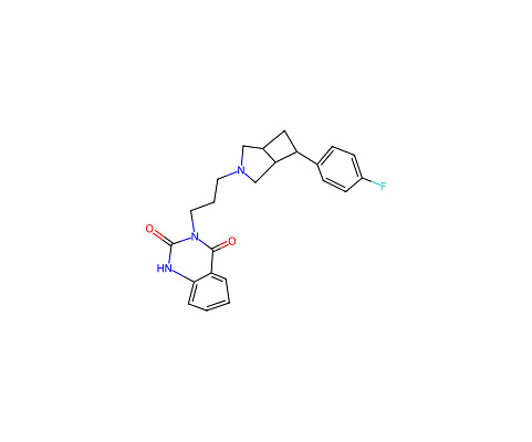 O=c1[nH]c2ccccc2c(=O)n1CCCN1CC2CC(c3ccc(F)cc3)C2C1